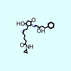 O=C(CCC/C=C\CC1[C@@H](O)CC(=O)[C@@H]1/C=C/[C@@H](O)CCc1ccccc1)NC1CC1